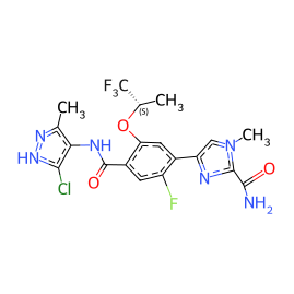 Cc1n[nH]c(Cl)c1NC(=O)c1cc(F)c(-c2cn(C)c(C(N)=O)n2)cc1O[C@@H](C)C(F)(F)F